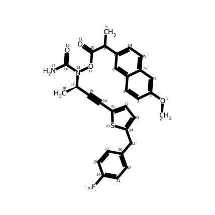 COc1ccc2cc(C(C)C(=O)ON(C(N)=O)[C@H](C)C#Cc3ccc(Cc4ccc(F)cc4)s3)ccc2c1